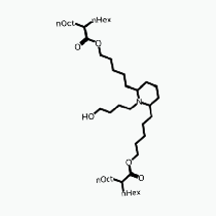 CCCCCCCCC(CCCCCC)C(=O)OCCCCCC1CCCC(CCCCCOC(=O)C(CCCCCC)CCCCCCCC)N1CCCCO